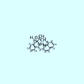 CC(C)(C)C(=O)NC(Cc1ccc2ccccc2n1)c1ccccc1